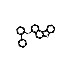 c1ccc(-c2ccccc2Nc2cccc3c2ccc2oc4ccccc4c23)cc1